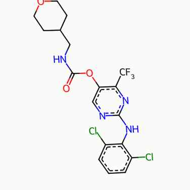 O=C(NCC1CCOCC1)Oc1cnc(Nc2c(Cl)cccc2Cl)nc1C(F)(F)F